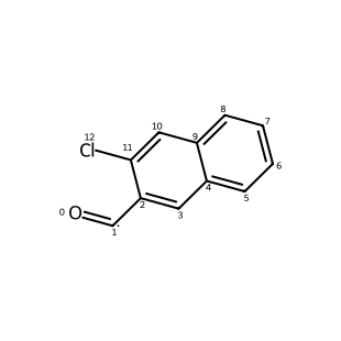 O=[C]c1cc2ccccc2cc1Cl